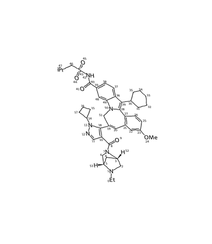 CCN1C[C@@H]2C[C@H]1CN2C(=O)c1cnn(C2CCC2)c1C1=Cc2cc(OC)ccc2-c2c(C3CCCCC3)c3ccc(C(=O)NS(=O)(=O)CC(C)C)cc3n2C1